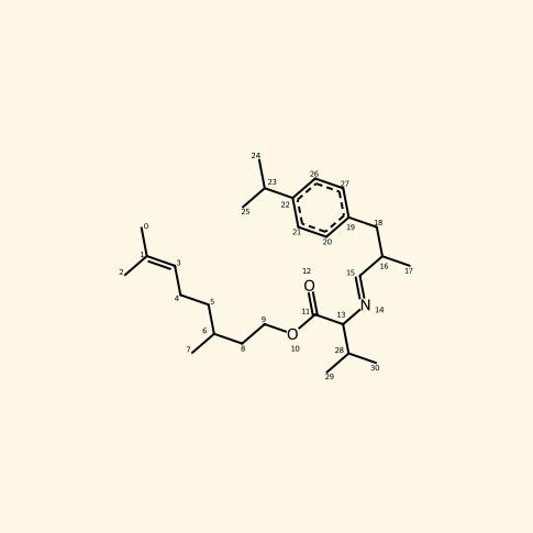 CC(C)=CCCC(C)CCOC(=O)C(/N=C/C(C)Cc1ccc(C(C)C)cc1)C(C)C